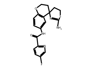 NC1=NC2(CCOc3ccc(NC(=O)c4ccc(F)cn4)cc32)CCS1